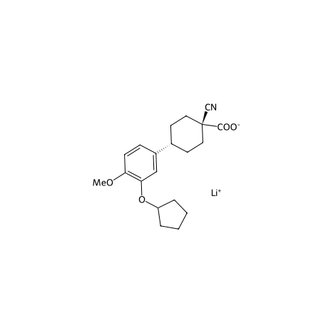 COc1ccc([C@H]2CC[C@@](C#N)(C(=O)[O-])CC2)cc1OC1CCCC1.[Li+]